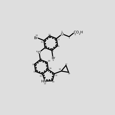 O=C(O)COc1cc(Br)c(Oc2ccc3[nH]cc(C4CC4)c3c2)c(Br)c1